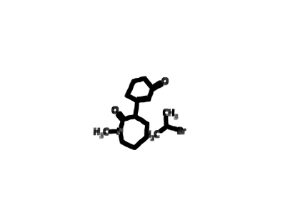 CC(C)Br.CN1CCCCC(C2=CC(=O)CCC2)C1=O